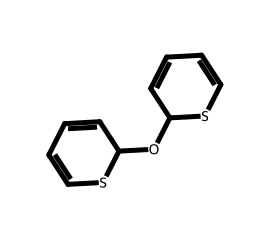 C1=CSC(OC2C=CC=CS2)C=C1